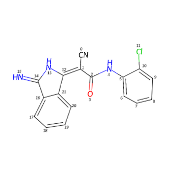 N#CC(C(=O)Nc1ccccc1Cl)=C1NC(=N)c2ccccc21